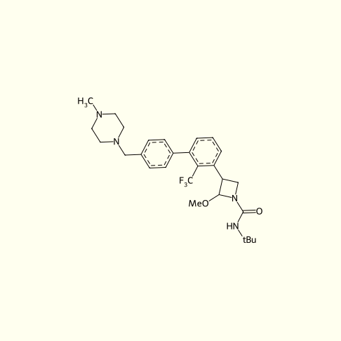 COC1C(c2cccc(-c3ccc(CN4CCN(C)CC4)cc3)c2C(F)(F)F)CN1C(=O)NC(C)(C)C